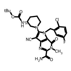 Cn1c(C(N)=O)nc2c(C#N)c(N3CCC[C@@H](NC(=O)OC(C)(C)C)C3)n(Cc3cc(F)ccc3Cl)c2c1=O